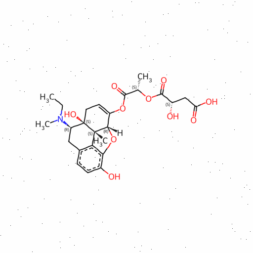 CCN(C)[C@@H]1Cc2ccc(O)c3c2[C@@]2(C)[C@@H](O3)C(OC(=O)[C@H](C)OC(=O)[C@@H](O)CC(=O)O)=CC[C@@]12O